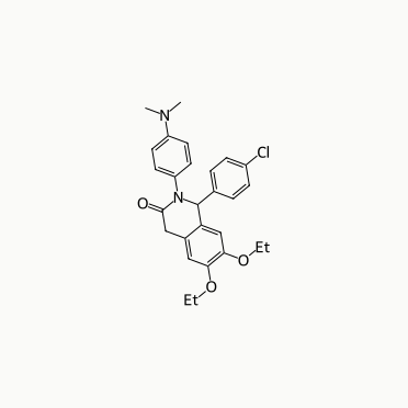 CCOc1cc2c(cc1OCC)C(c1ccc(Cl)cc1)N(c1ccc(N(C)C)cc1)C(=O)C2